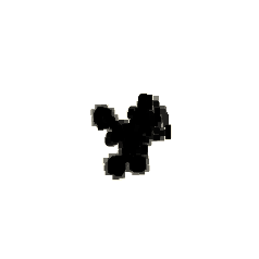 CCNC(=O)[C@H]1O[C@@H](n2cnc3c(NCC(c4ccccc4)c4ccccc4)nc(C(=O)NCCc4ccccn4)nc32)[C@H](O)[C@@H]1O